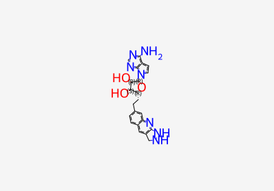 Nc1ncnc2c1ccn2[C@@H]1O[C@H](CCc2ccc3cc4c(nc3c2)NNC4)[C@@H](O)[C@H]1O